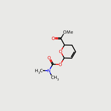 COC(=O)C1CC=CC(OC(=O)N(C)C)O1